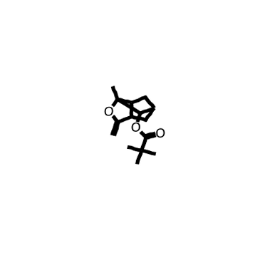 C=C1OC2(C)C3CC(CC13)C2OC(=O)C(C)(C)C